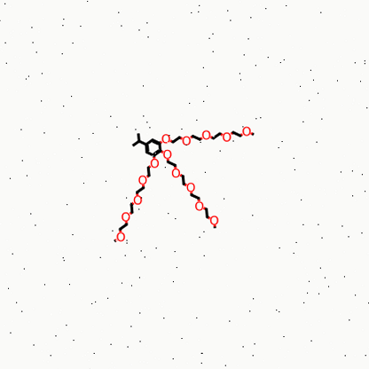 COCCOCCOCCOCCOc1cc(C(C)C)cc(OCCOCCOCCOCCOC)c1OCCOCCOCCOCCOC